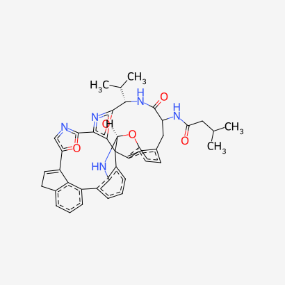 CC(C)CC(=O)NC1Cc2ccc3c(c2)C24c5cccc(c5N[C@H]2O3)-c2cccc3c2C(=CC3)c2cnc(o2)-c2nc(oc24)[C@H](C(C)C)NC1=O